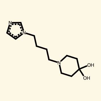 OC1(O)CCN(CCCCn2ccnc2)CC1